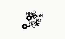 CC(C)(C)C(NC(=O)OCc1ccccc1)C(=O)N1C[C@]2(C[C@H]1C#N)C(=O)Nc1ccccc12